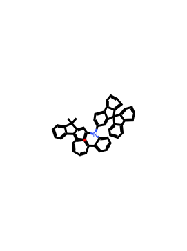 CC1(C)c2ccccc2-c2ccc(N(c3ccc4c(c3)C3(c5ccccc5-c5ccccc53)c3ccccc3-4)c3ccccc3C3=CCC=CC=C3)cc21